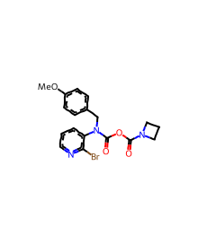 COc1ccc(CN(C(=O)OC(=O)N2CCC2)c2cccnc2Br)cc1